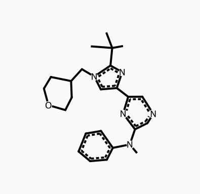 CN(c1ccccc1)c1cncc(-c2cn(CC3CCOCC3)c(C(C)(C)C)n2)n1